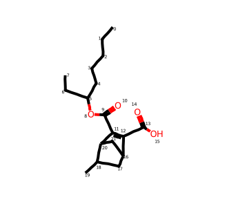 CCCCCC(CC)OC(=O)C1=C(C(=O)O)C2CC(C)C1C2